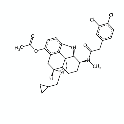 CC(=O)Oc1ccc2c3c1C[C@@H]1[C@@H]4CC[C@H](N(C)C(=O)Cc5ccc(Cl)c(Cl)c5)[C@H](O2)[C@]34CCN1CC1CC1